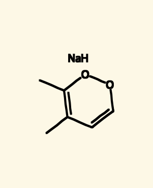 CC1=C(C)OOC=C1.[NaH]